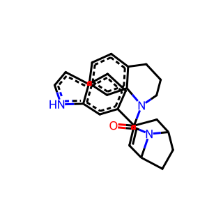 O=C(N1CCCc2ccccc21)N1C2C=C(c3ccc4cc[nH]c4c3)CC1CC2